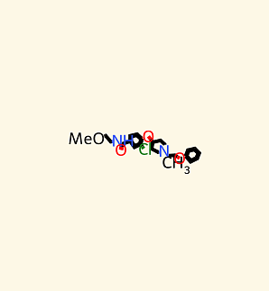 COCCNC(=O)c1ccc(OC2CCN([C@@H](C)COc3ccccc3)CC2)c(Cl)c1